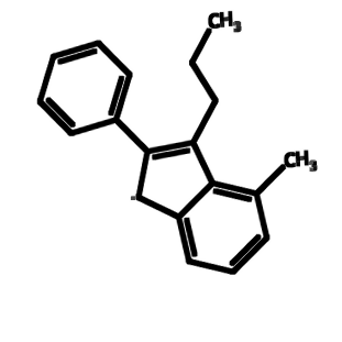 CCCC1=C(c2ccccc2)[CH]c2cccc(C)c21